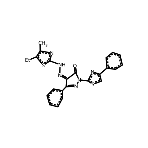 CCc1sc(NN=C2C(=O)N(c3nc(-c4ccccc4)cs3)N=C2c2ccccc2)nc1C